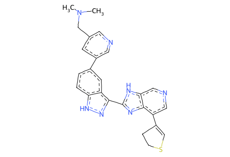 CN(C)Cc1cncc(-c2ccc3[nH]nc(-c4nc5c(C6=CSCC6)cncc5[nH]4)c3c2)c1